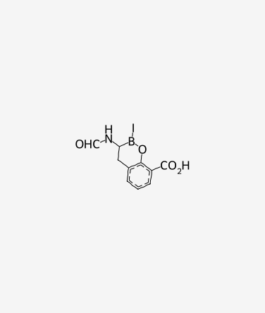 O=CNC1Cc2cccc(C(=O)O)c2OB1I